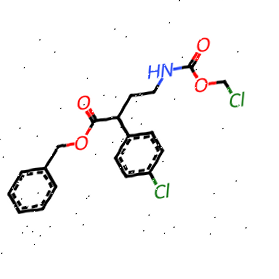 O=C(NCCC(C(=O)OCc1ccccc1)c1ccc(Cl)cc1)OCCl